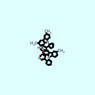 Cc1ccc2c(c1)c1cc(C)ccc1n2-c1ccccc1-c1cncc(-c2cncc(-c3ccccc3-n3c4ccc(C)cc4c4cc(C)ccc43)c2)c1